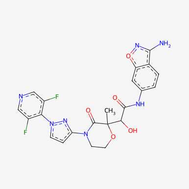 CC1(C(O)C(=O)Nc2ccc3c(N)noc3c2)OCCN(c2ccn(-c3c(F)cncc3F)n2)C1=O